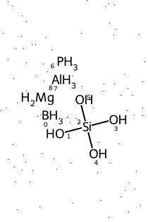 B.O[Si](O)(O)O.P.[AlH3].[MgH2]